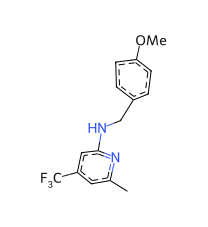 COc1ccc(CNc2cc(C(F)(F)F)cc(C)n2)cc1